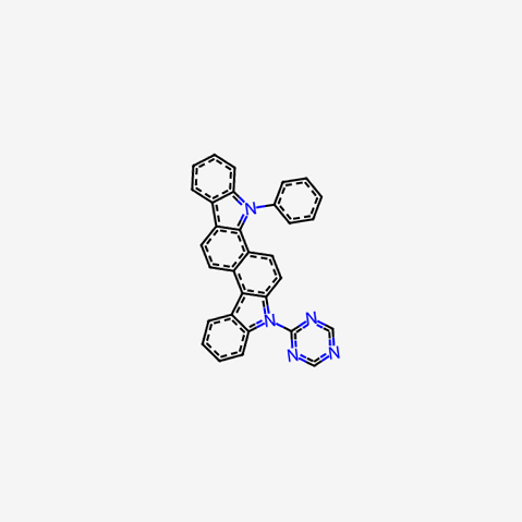 c1ccc(-n2c3ccccc3c3ccc4c(ccc5c4c4ccccc4n5-c4ncncn4)c32)cc1